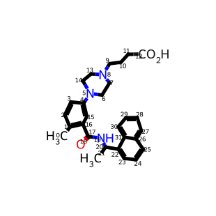 Cc1ccc(N2CCN(CCCC(=O)O)CC2)cc1C(=O)NC(C)c1cccc2ccccc12